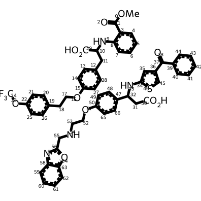 COC(=O)c1ccccc1NC(Cc1ccc(OCCc2ccc(OC(F)(F)F)cc2)cc1)C(=O)O.O=C(O)CC(Nc1cc(C(=O)c2ccccc2)cs1)c1ccc(OCCNCc2nc3ccccc3o2)cc1